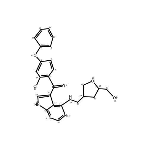 O=C(c1ccc(Oc2ccccc2)cc1Cl)c1c[nH]c2ncnc(NCC3COC(CO)C3)c12